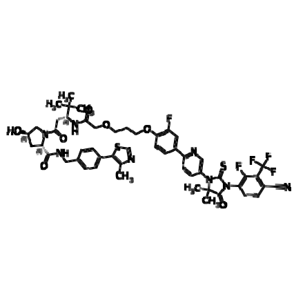 Cc1ncsc1-c1ccc(CNC(=O)[C@@H]2C[C@@H](O)CN2C(=O)C[C@@H](NC(=O)COCCCOc2ccc(-c3ccc(N4C(=S)N(c5ccc(C#N)c(C(F)(F)F)c5F)C(=O)C4(C)C)cn3)cc2F)C(C)(C)C)cc1